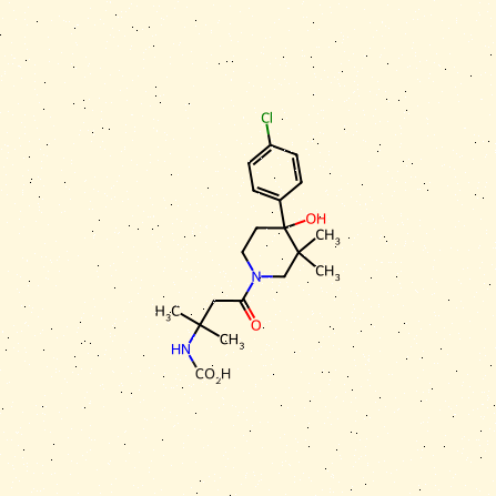 CC(C)(CC(=O)N1CCC(O)(c2ccc(Cl)cc2)C(C)(C)C1)NC(=O)O